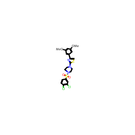 COc1cc(OC)cc(-c2csc(N3CCN(S(=O)(=O)c4ccc(Cl)c(Cl)c4)CC3)n2)c1